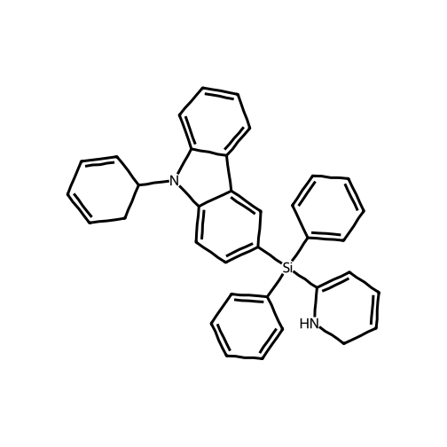 C1=CCNC([Si](c2ccccc2)(c2ccccc2)c2ccc3c(c2)c2ccccc2n3C2C=CC=CC2)=C1